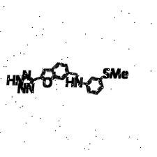 CSc1cccc(NCc2ccc3cc(-c4nn[nH]n4)oc3c2)c1